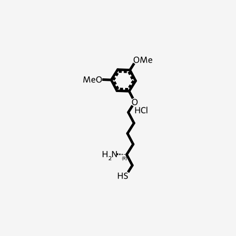 COc1cc(OC)cc(OCCCC[C@@H](N)CS)c1.Cl